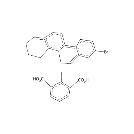 Brc1ccc2c(c1)=CCc1c3c(ccc1=2)=CCCC3.Cc1c(C(=O)O)cccc1C(=O)O